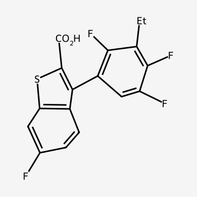 CCc1c(F)c(F)cc(-c2c(C(=O)O)sc3cc(F)ccc23)c1F